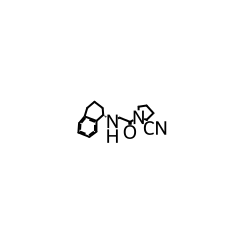 N#C[C@@H]1CCCN1C(=O)CN[C@H]1CCCc2ccccc21